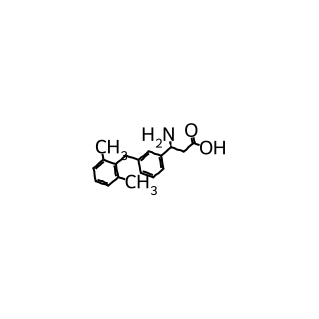 Cc1cccc(C)c1Cc1cccc([C@@H](N)CC(=O)O)c1